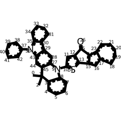 CC1(C)c2ccccc2N(c2cc3c(s2)-c2cc4cccccc-4c2C3=O)c2cc3c4ccccc4n(-c4ccccc4)c3cc21